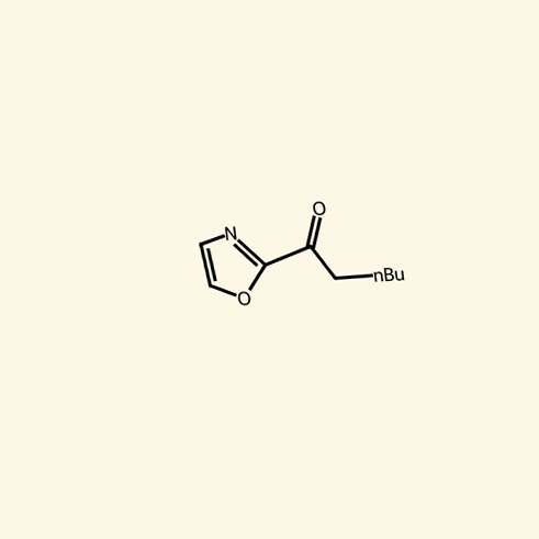 CCCCCC(=O)c1ncco1